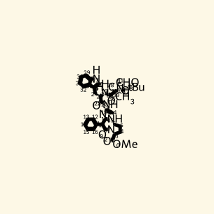 COC(=O)C1CCCN1C(=O)C(c1ccccc1)c1nc(NC(=O)[C@@H](Cc2c[nH]c3ccccc23)NC(=O)C(C)(C)N(C=O)OC(C)(C)C)c[nH]1